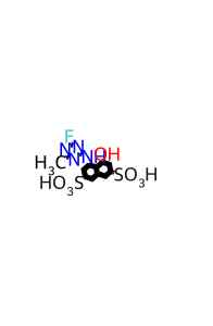 Cc1nc(F)nc(Nc2cc(S(=O)(=O)O)cc3cc(S(=O)(=O)O)cc(O)c23)n1